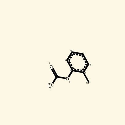 CCC(=O)Oc1[c]cccc1C